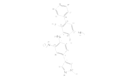 Cn1cc(-c2ccc(Nc3c(F)c(N)cc(-c4ccccc4)c3F)c([N+](=O)[O-])c2)cn1